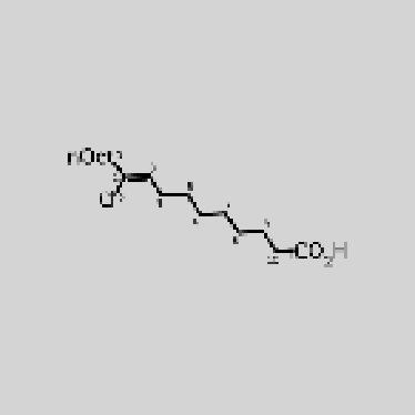 CCCCCCCC/C(Cl)=C/CCCCCCCC(=O)O